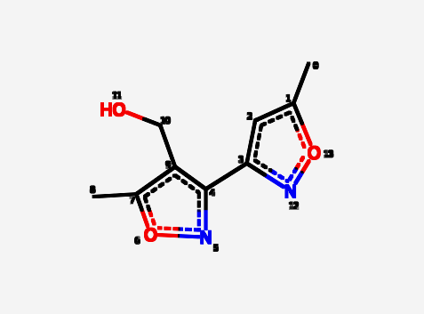 Cc1cc(-c2noc(C)c2CO)no1